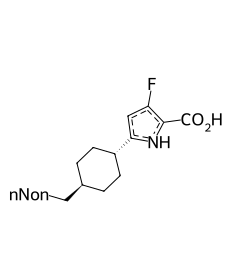 CCCCCCCCCC[C@H]1CC[C@H](c2cc(F)c(C(=O)O)[nH]2)CC1